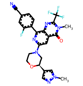 Cn1cc([C@@H]2CN(c3cc4c(=O)n(C)c(C(F)(F)F)nc4c(-c4ccc(C#N)cc4F)n3)CCO2)cn1